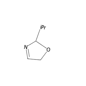 CC(C)C1N=CCO1